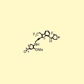 COc1cc(P(C)(C)=O)ncc1NCC#Cc1sc2c(N[C@@H]3CCN(C)C[C@@H]3F)cccc2c1CC(F)(F)F